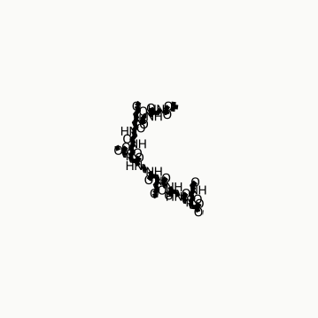 COC(=O)CN(CC(=O)NCC(=O)NCC(=O)N(CC(=O)NCCNC(=O)CN(CC(=O)OC)C(=O)CNC(=O)CNC(=O)CN(CC(=O)OC)C(=O)CNC(=O)CNC(=O)OC(C)(C)C)CC(=O)OC)C(=O)CNC=O